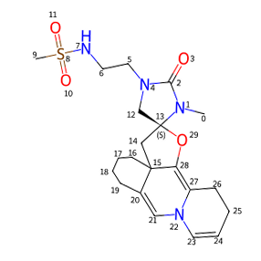 CN1C(=O)N(CCNS(C)(=O)=O)C[C@@]12CC13CCCCC1=CN1C=CCCC1=C3O2